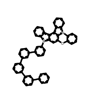 c1ccc(-c2cccc(-c3cccc(-c4cccc(-c5cccc(-n6c7ccccc7c7c8c9ccccc9n9c8c(cc76)Oc6ccccc6-9)c5)c4)c3)c2)cc1